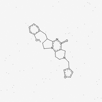 Cc1ccccc1CC1CCn2c1nc(=O)c1c2CCN(Cc2ccoc2)C1